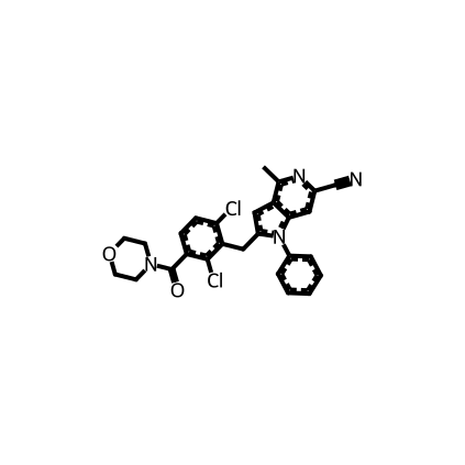 Cc1nc(C#N)cc2c1cc(Cc1c(Cl)ccc(C(=O)N3CCOCC3)c1Cl)n2-c1ccccc1